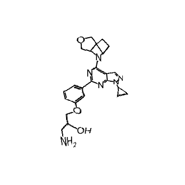 NCC(O)COc1cccc(-c2nc(N3C4CCC45COCC35)c3cnn(C4CC4)c3n2)c1